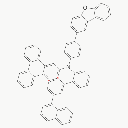 c1cc(-c2ccccc2N(c2ccc(-c3ccc4oc5ccccc5c4c3)cc2)c2ccc3c4ccccc4c4ccccc4c3c2)cc(-c2cccc3ccccc23)c1